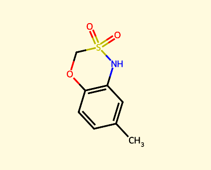 Cc1ccc2c(c1)NS(=O)(=O)CO2